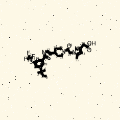 CCC(C)(C)c1cc(SC(F)(F)F)cc(-c2ncc(C3CCN(C(=O)Cn4nc(CC(=O)O)cc4C)CC3)s2)c1